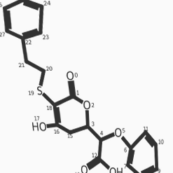 O=C1OC(C(Oc2ccccc2)C(=O)O)CC(O)=C1SCCc1ccccc1